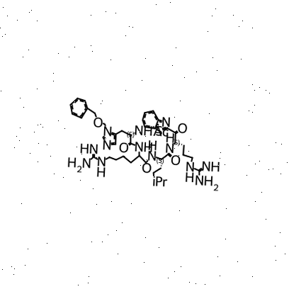 CC(=O)N[C@@H](Cc1cncn1COCc1ccccc1)C(=O)NC(CCCCNC(=N)N)C(=O)N[C@@H](CCC(C)C)C(=O)N[C@@H](CCCNC(=N)N)C(=O)c1nc2ccccc2s1